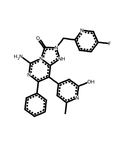 Cc1cc(-c2c(-c3ccccc3)nc(N)[n+]3c(=O)n(Cc4ccc(F)cn4)[nH]c23)cc(O)n1